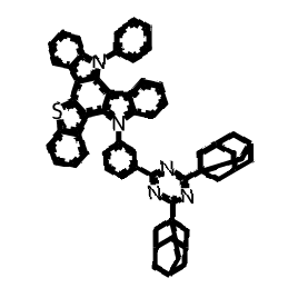 c1ccc(-n2c3ccccc3c3c4sc5ccccc5c4c4c(c5ccccc5n4-c4cccc(-c5nc(C67CC8CC(CC(C8)C6)C7)nc(C67CC8CC(CC(C8)C6)C7)n5)c4)c32)cc1